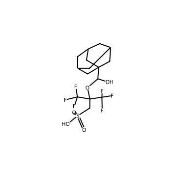 O=S(=O)(O)CC(OC(O)C12CC3CC(CC(C3)C1)C2)(C(F)(F)F)C(F)(F)F